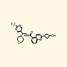 O=C(NCC(c1cnc(C(F)(F)F)nc1)N1CCOCC1)c1cccc2nc(N3CC(O)C3)ccc12